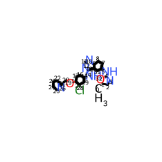 CC1CN=C(Nc2ccc3ncnc(Nc4ccc(OCc5ccccn5)c(Cl)c4)c3c2)O1